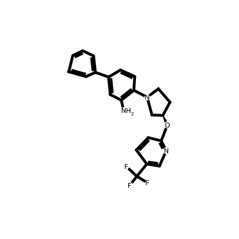 Nc1cc(-c2ccccc2)ccc1N1CC[C@@H](Oc2ccc(C(F)(F)F)cn2)C1